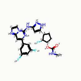 CC(C)NC(=O)O[C@H]1CC[C@@H](c2cc(Nc3nc(-c4cc(F)cc(F)c4)cc4nccn34)n[nH]2)[C@@H]1F